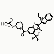 CCn1c(-c2nc3cc(C(=O)N4CCCC(NC(=O)O)C4)cc(C(F)(F)F)c3n2C)cc2ccccc21